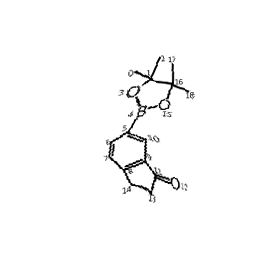 CC1(C)OB(c2ccc3c(c2)C(=O)CC3)OC1(C)C